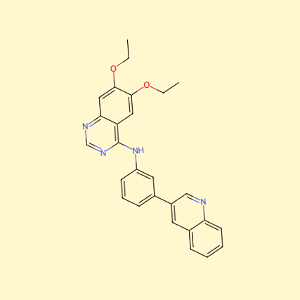 CCOc1cc2ncnc(Nc3cccc(-c4cnc5ccccc5c4)c3)c2cc1OCC